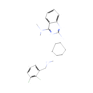 CN(C)c1nc(N[C@H]2CC[C@@H](CNCc3cccc(Cl)c3Cl)CC2)nc2ccccc12